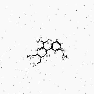 CCN(CC)NC(C(=O)C(C)C)c1cccc(OC)c1